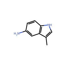 Cc1c[nH]c2ccc(N)cc12